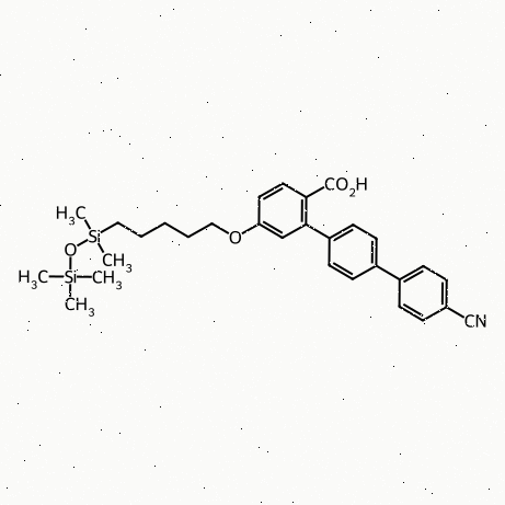 C[Si](C)(C)O[Si](C)(C)CCCCCOc1ccc(C(=O)O)c(-c2ccc(-c3ccc(C#N)cc3)cc2)c1